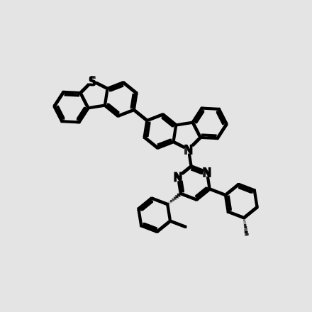 CC1C=CC=C[C@@H]1c1cc(C2=C[C@@H](C)CC=C2)nc(-n2c3ccccc3c3cc(-c4ccc5sc6ccccc6c5c4)ccc32)n1